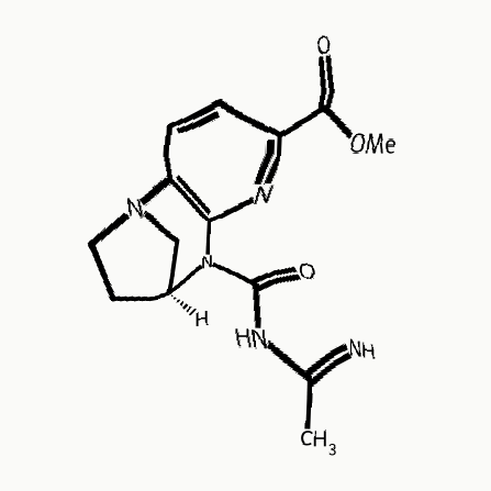 COC(=O)c1ccc2c(n1)N(C(=O)NC(C)=N)[C@H]1CCN2C1